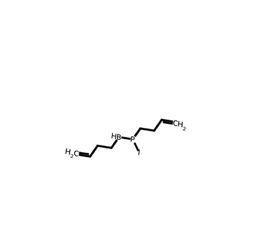 C=CCCBP(I)CCC=C